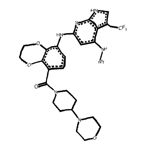 CCCNc1cc(Nc2ccc(C(=O)N3CCC(N4CCOCC4)CC3)c3c2OCCO3)nc2[nH]cc(C(F)(F)F)c12